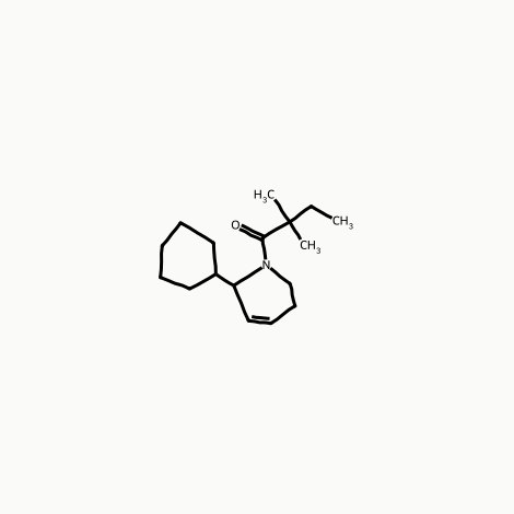 CCC(C)(C)C(=O)N1CCC=CC1C1CCCCC1